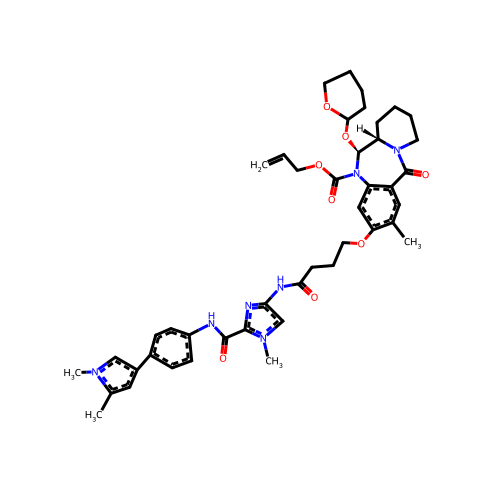 C=CCOC(=O)N1c2cc(OCCCC(=O)Nc3cn(C)c(C(=O)Nc4ccc(-c5cc(C)n(C)c5)cc4)n3)c(C)cc2C(=O)N2CCCC[C@H]2[C@@H]1OC1CCCCO1